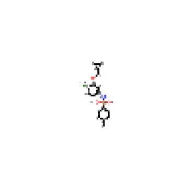 Cc1ccc(S(=O)(=O)Nc2cc(OCC3CC3)c(Cl)cc2I)cc1